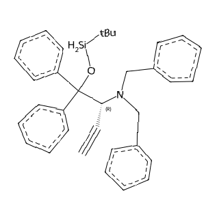 C#C[C@@H](N(Cc1ccccc1)Cc1ccccc1)C(O[SiH2]C(C)(C)C)(c1ccccc1)c1ccccc1